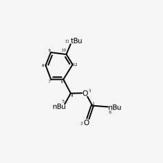 CCCCC(=O)OC(CCCC)c1cccc(C(C)(C)C)c1